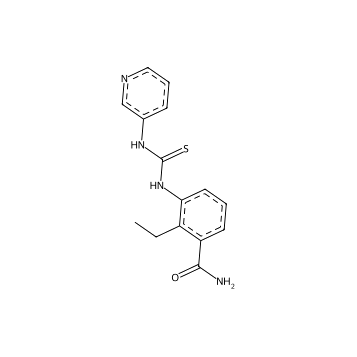 CCc1c(NC(=S)Nc2cccnc2)cccc1C(N)=O